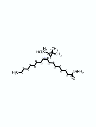 CC1CC1(C)C.CCCCCCCC/C=C\CCCCCCCC(=O)ON.Cl